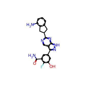 NC(=O)c1cc(-c2n[nH]c3nc(C4Cc5cccc(N)c5C4)ncc23)cc(O)c1F